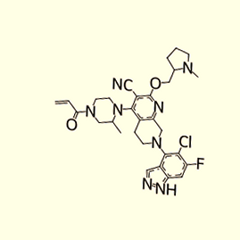 C=CC(=O)N1CCN(c2c(C#N)c(OCC3CCCN3C)nc3c2CCN(c2c(Cl)c(F)cc4[nH]ncc24)C3)C(C)C1